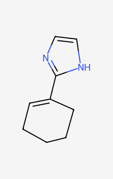 C1=C(c2ncc[nH]2)CCCC1